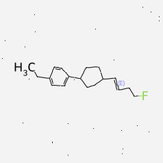 CCc1ccc(C2CCC(/C=C/CCF)CC2)cc1